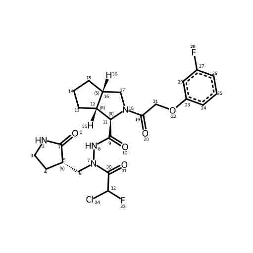 O=C1NCC[C@H]1CN(NC(=O)[C@H]1[C@@H]2CCC[C@@H]2CN1C(=O)COc1cccc(F)c1)C(=O)C(F)Cl